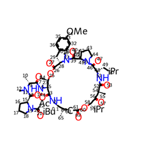 CC[C@H](C)[C@H]1NC(=O)[C@@H](NC(=O)[C@@H](C)N(C)C(=O)[C@@H]2CCCN2C(=O)C(C)=O)[C@@H](C)OC(=O)[C@H](Cc2ccc(OC)cc2)N(C)C(=O)[C@@H]2CCCN2C(=O)[C@H](CC(C)C)NC(=O)[C@@H](C)C(=O)[C@H](C(C)C)OC(=O)C[C@@H]1C